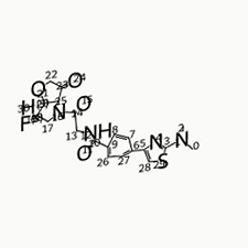 CN(C)c1nc(-c2ccc(C(=O)NCC(=O)N3C[C@H](F)[C@H]4OCC(=O)C43)cc2)cs1